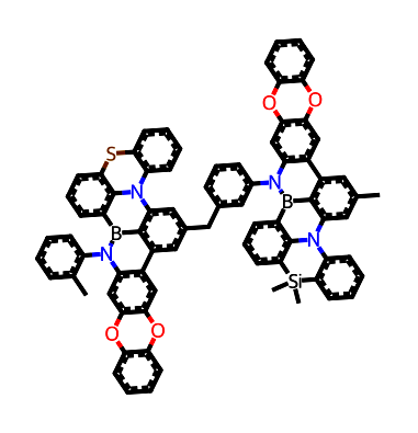 Cc1cc2c3c(c1)N1c4ccccc4[Si](C)(C)c4cccc(c41)B3N(c1cccc(Cc3cc4c5c(c3)N3c6ccccc6Sc6cccc(c63)B5N(c3ccccc3C)c3cc5c(cc3-4)Oc3ccccc3O5)c1)c1cc3c(cc1-2)Oc1ccccc1O3